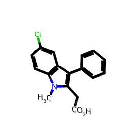 Cn1c(CC(=O)O)c(-c2ccccc2)c2cc(Cl)ccc21